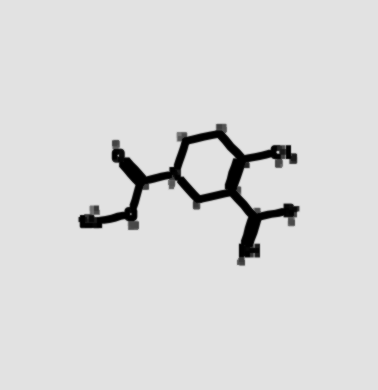 CC1=C(C(=N)Br)CN(C(=O)OC(C)(C)C)CC1